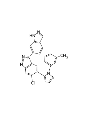 Cc1cccc(-n2nccc2-c2cc3c(cc2Cl)nnn3-c2ccc3cn[nH]c3c2)c1